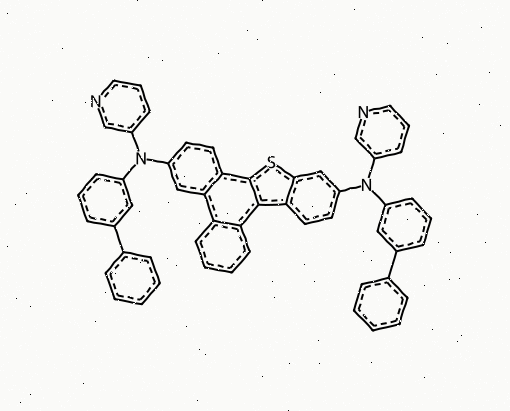 c1ccc(-c2cccc(N(c3cccnc3)c3ccc4c(c3)sc3c5ccc(N(c6cccnc6)c6cccc(-c7ccccc7)c6)cc5c5ccccc5c43)c2)cc1